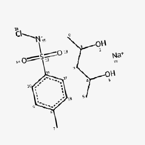 CC(O)CC(C)O.Cc1ccc(S(=O)(=O)[N-]Cl)cc1.[Na+]